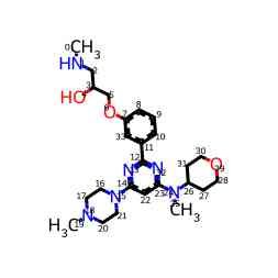 CNCC(O)COc1cccc(-c2nc(N3CCN(C)CC3)cc(N(C)C3CCOCC3)n2)c1